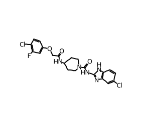 O=C(COc1ccc(Cl)c(F)c1)NC1CCN(C(=O)Nc2nc3cc(Cl)ccc3[nH]2)CC1